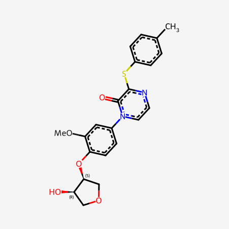 COc1cc(-n2ccnc(Sc3ccc(C)cc3)c2=O)ccc1O[C@H]1COC[C@H]1O